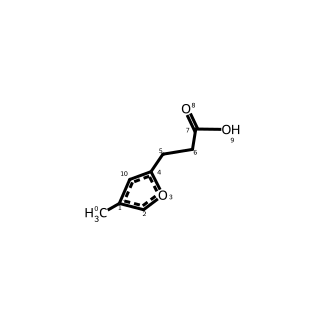 Cc1coc(CCC(=O)O)c1